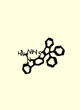 CNC(=N)n1c2ccccc2c2ccc3c4c(sc3c21)-c1ccccc1C4(c1ccccc1)c1ccccc1